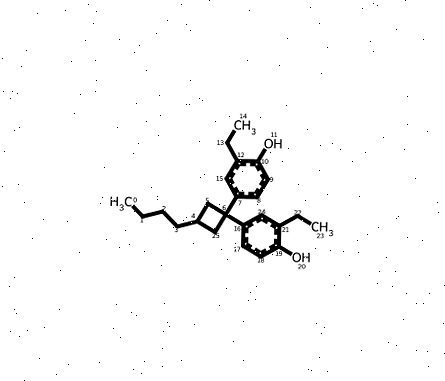 CCCCC1CC(c2ccc(O)c(CC)c2)(c2ccc(O)c(CC)c2)C1